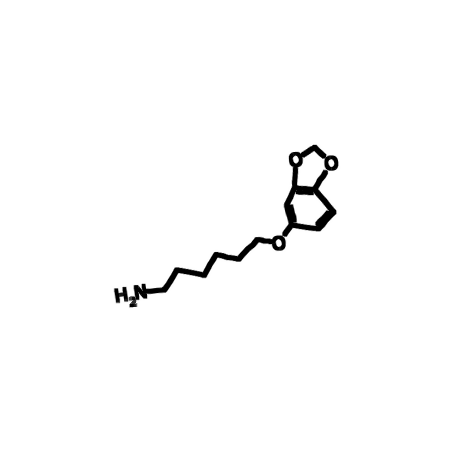 NCCCCCCOc1ccc2c(c1)OCO2